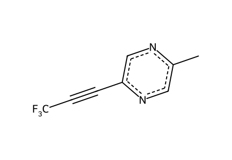 Cc1cnc(C#CC(F)(F)F)cn1